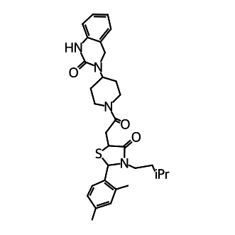 Cc1ccc(C2SC(CC(=O)N3CCC(N4Cc5ccccc5NC4=O)CC3)C(=O)N2CCC(C)C)c(C)c1